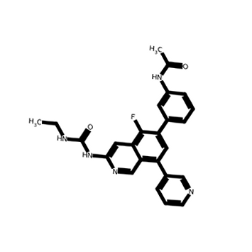 CCNC(=O)Nc1cc2c(F)c(-c3cccc(NC(C)=O)c3)cc(-c3cccnc3)c2cn1